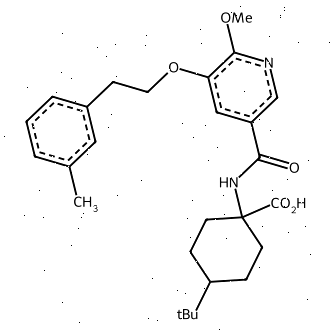 COc1ncc(C(=O)NC2(C(=O)O)CCC(C(C)(C)C)CC2)cc1OCCc1cccc(C)c1